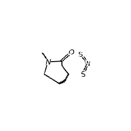 CN1CCCC1=O.[S]=[W]=[S]